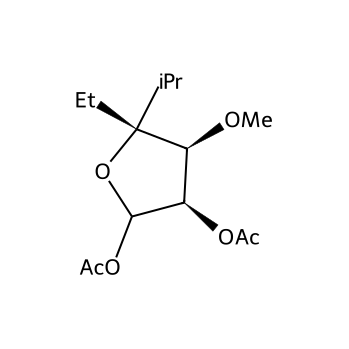 CC[C@]1(C(C)C)OC(OC(C)=O)[C@H](OC(C)=O)[C@@H]1OC